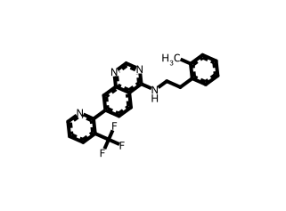 Cc1ccccc1CCNc1ncnc2cc(-c3ncccc3C(F)(F)F)ccc12